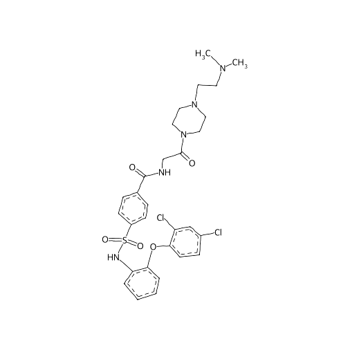 CN(C)CCN1CCN(C(=O)CNC(=O)c2ccc(S(=O)(=O)Nc3ccccc3Oc3ccc(Cl)cc3Cl)cc2)CC1